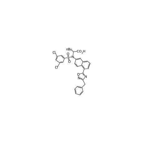 CCCCC(C(=O)O)N(c1ccc2c(-c3nc(Cc4ccccc4)no3)cccc2c1)S(=O)(=O)c1cc(Cl)cc(Cl)c1